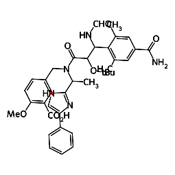 COc1ccc(CN(C(=O)C(OC(C)(C)C)C(NC=O)c2c(C)cc(C(N)=O)cc2C)C(C)c2nc(-c3ccccc3)c[nH]2)cc1C(=O)O